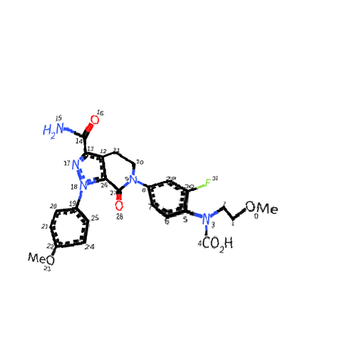 COCCN(C(=O)O)c1ccc(N2CCc3c(C(N)=O)nn(-c4ccc(OC)cc4)c3C2=O)cc1F